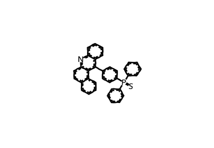 S=P(c1ccccc1)(c1ccccc1)c1ccc(-c2c3ccccc3nc3ccc4ccccc4c23)cc1